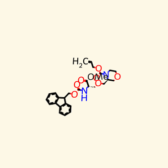 C=CCOC(=O)N1CCOC[C@H]1COC[C@H](NC(=O)OCC1c2ccccc2-c2ccccc21)C(=O)OC